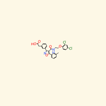 Cc1cccc(-c2onc(-c3cccc(CC(=O)O)c3)c2C(=O)NCCOc2ccc(Cl)cc2Cl)c1